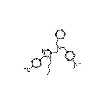 CCCCn1c(CN(Cc2ccccc2)Cc2ccc(N(C)C)cc2)cnc1-c1ccc(OC)cc1